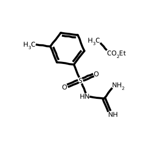 CCOC(C)=O.Cc1cccc(S(=O)(=O)NC(=N)N)c1